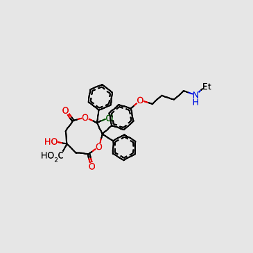 CCNCCCCOc1ccc(C2(c3ccccc3)OC(=O)CC(O)(C(=O)O)CC(=O)OC2(Cl)c2ccccc2)cc1